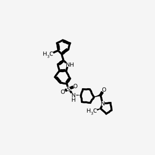 Cc1ccccc1-c1cc2ccc(S(=O)(=O)N[C@H]3CC[C@H](C(=O)N4CCC[C@H]4C)CC3)cc2[nH]1